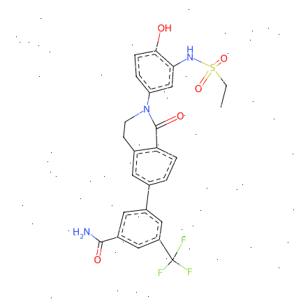 CCS(=O)(=O)Nc1cc(N2CCc3cc(-c4cc(C(N)=O)cc(C(F)(F)F)c4)ccc3C2=O)ccc1O